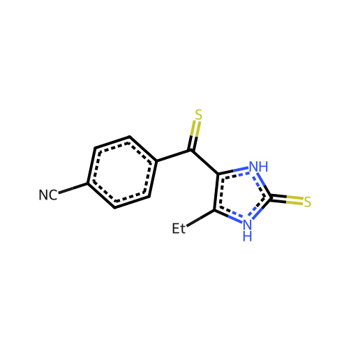 CCc1[nH]c(=S)[nH]c1C(=S)c1ccc(C#N)cc1